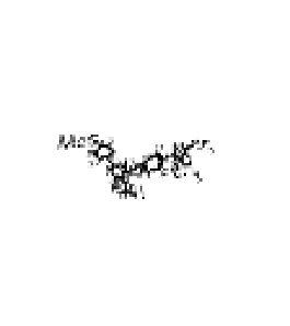 CSc1ccc(-c2nc(NCc3ccc(-c4nc(C(F)(F)F)cn4C)cc3)c3[nH]cnc3n2)cc1